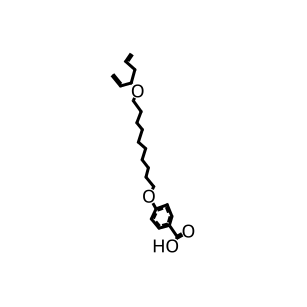 C=CCC(C=C)OCCCCCCCCCCOc1ccc(C(=O)O)cc1